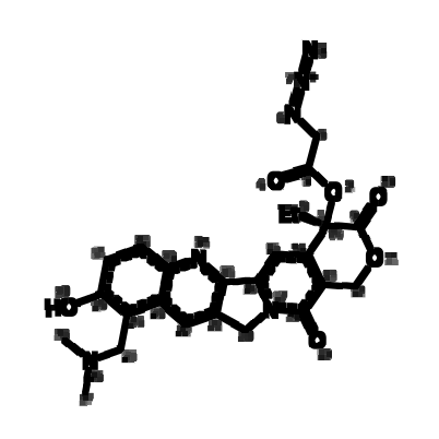 CC[C@@]1(OC(=O)CN=[N+]=[N-])C(=O)OCc2c1cc1n(c2=O)Cc2cc3c(CN(C)C)c(O)ccc3nc2-1